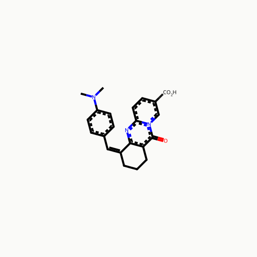 CN(C)c1ccc(/C=C2/CCCc3c2nc2ccc(C(=O)O)cn2c3=O)cc1